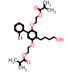 C=C(C)C(=O)OCCOc1cc(-c2ccccc2CC)c(OCCOC(=O)C(=C)C)cc1CCCCO